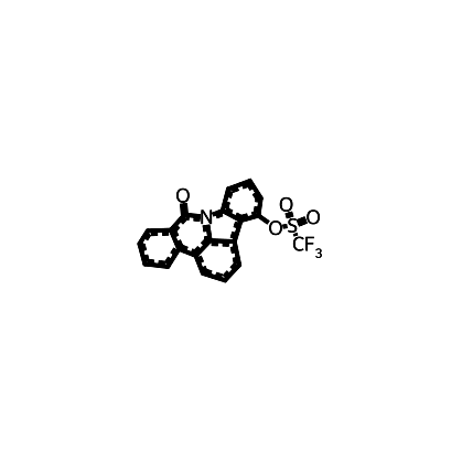 O=c1c2ccccc2c2cccc3c4c(OS(=O)(=O)C(F)(F)F)cccc4n1c23